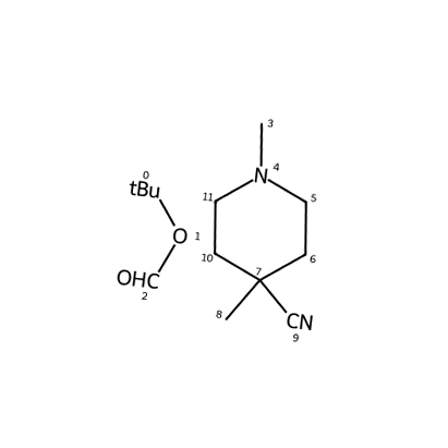 CC(C)(C)OC=O.CN1CCC(C)(C#N)CC1